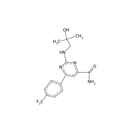 CC(C)(O)CNc1nc(C(N)=O)cc(-c2ccc(C(F)(F)F)cc2)n1